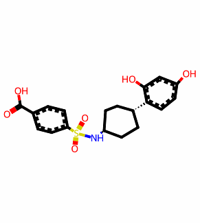 O=C(O)c1ccc(S(=O)(=O)N[C@H]2CC[C@@H](c3ccc(O)cc3O)CC2)cc1